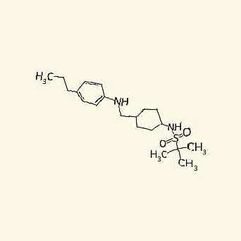 CCCc1ccc(NCC2CCC(NS(=O)(=O)C(C)(C)C)CC2)cc1